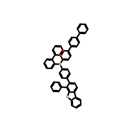 c1ccc(-c2ccc(-c3ccc(N(c4ccc(-c5ccc6c(oc7ccccc76)c5-c5ccccc5)cc4)c4ccccc4-c4ccccc4)cc3)cc2)cc1